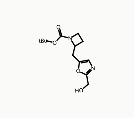 CC(C)(C)OC(=O)N1CCC1Cc1cnc(CO)o1